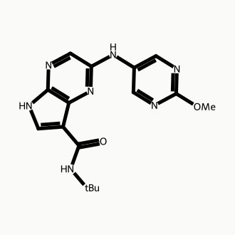 COc1ncc(Nc2cnc3[nH]cc(C(=O)NC(C)(C)C)c3n2)cn1